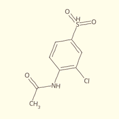 CC(=O)Nc1ccc([SH](=O)=O)cc1Cl